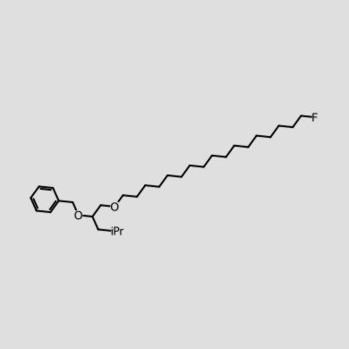 CC(C)CC(COCCCCCCCCCCCCCCCCCF)OCc1ccccc1